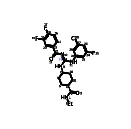 CCNC(=O)[C@H]1CC[C@@H](N/C(=N\C(=O)c2ccc(F)c(F)c2)Nc2cc(F)cc(Cl)c2)CC1